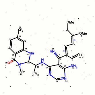 C=C/C(=C\C=C(/COC)OC)C(=N)c1c(N)ncnc1NC(C)C1Nc2cc(C(F)(F)F)ccc2C(=O)N1CCC